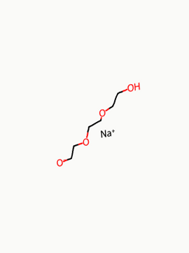 [Na+].[O-]CCOCCOCCO